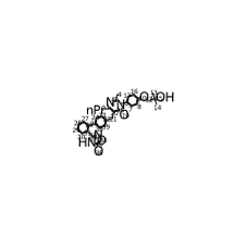 CCCc1nc(C)n(-c2ccc(OCC(C)(C)O)cc2)c(=O)c1Cc1ccc(-c2ccccc2-c2noc(=O)[nH]2)cc1